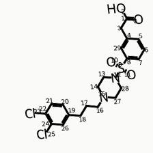 O=C(O)Cc1cccc(S(=O)(=O)N2CCN(CCCc3ccc(Cl)c(Cl)c3)CC2)c1